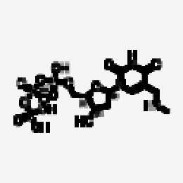 CNCc1cn([C@H]2C[C@@H](O)[C@@H](COP(=O)(O)OP(=O)(O)OP(=O)(O)O)O2)c(=O)[nH]c1=O